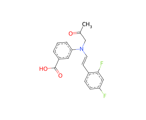 CC(=O)CN(C=Cc1ccc(F)cc1F)c1cccc(C(=O)O)c1